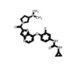 CN(C)C1CCN(C(=O)c2cc3nccc(Oc4ccc(NC(=O)NC5CC5)cc4F)c3s2)C1